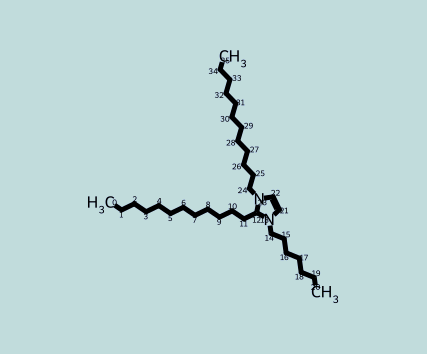 CCCCCCCCCCCCC1N(CCCCCCC)C=CN1CCCCCCCCCCCC